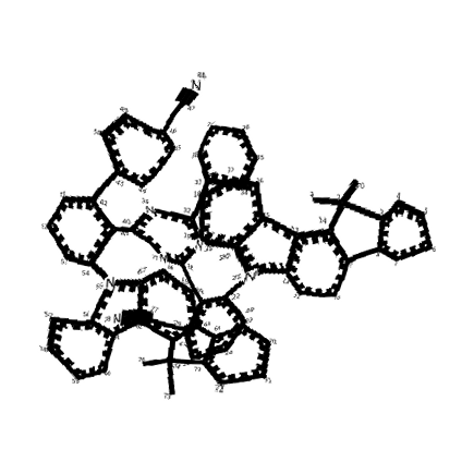 CC1(C)c2ccccc2-c2ccc3c(c21)c1ccccc1n3-c1cccc(C#N)c1-c1nc(-c2ccccc2)nc(-c2c(-c3ccc(C#N)cc3)cccc2-n2c3ccccc3c3c4c(ccc32)-c2ccccc2C4(C)C)n1